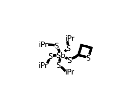 CC(C)[S][Sb]([S]C(C)C)([S]C(C)C)([S]C(C)C)[S]C1CCS1